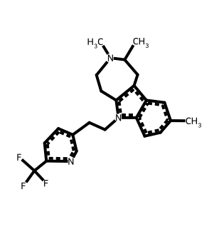 Cc1ccc2c(c1)c1c(n2CCc2ccc(C(F)(F)F)nc2)CCN(C)C(C)C1